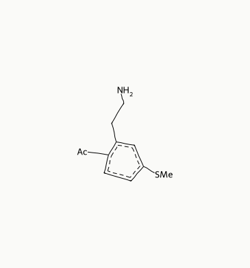 CSc1ccc(C(C)=O)c(CCN)c1